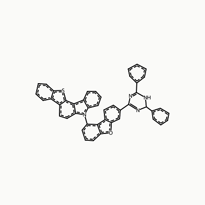 c1ccc(C2=NC(c3ccc4c(c3)oc3cccc(-n5c6ccccc6c6c7sc8ccccc8c7ccc65)c34)=NC(c3ccccc3)N2)cc1